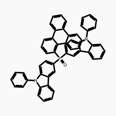 O=P(c1ccc2c(c1)c1ccccc1n2-c1ccccc1)(c1ccc2c(c1)c1ccccc1n2-c1ccccc1)c1cccc2c3ccccc3c3ccccc3c12